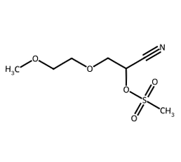 COCCOCC(C#N)OS(C)(=O)=O